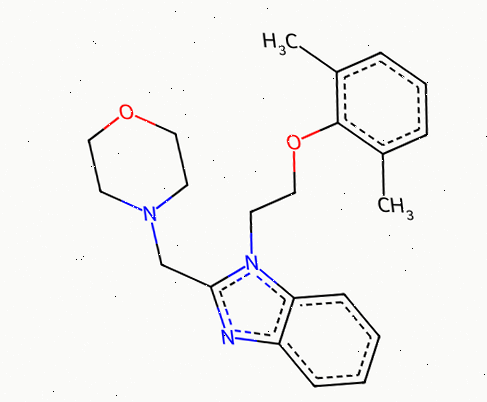 Cc1cccc(C)c1OCCn1c(CN2CCOCC2)nc2ccccc21